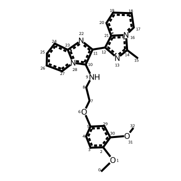 COc1ccc(OCCNc2c(-c3nc(C)n4ccccc34)nc3ccccn23)cc1OC